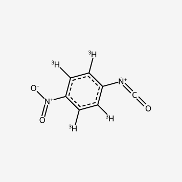 [3H]c1c([3H])c([N+](=O)[O-])c([3H])c([3H])c1[N+]=C=O